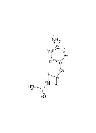 CC(=O)N1CC(Oc2ccc(N)nc2)C1